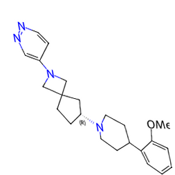 COc1ccccc1C1CCN([C@@H]2CCC3(C2)CN(c2ccnnc2)C3)CC1